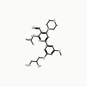 COc1cc(OCC(O)CN)cc(-c2cc(N3CCOCC3)c(C=N)c(NC(C)C)n2)c1